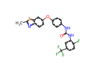 Cc1nc2ccc(Oc3ccc(NC(=O)Nc4cc(C(F)(F)F)ccc4F)cc3)cc2s1